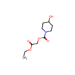 CCOC(=O)COC(=O)N1CCC(O)CC1